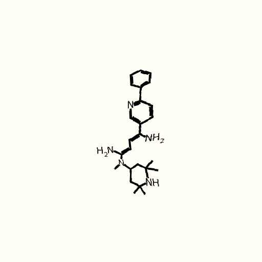 CN(/C(N)=C/C=C(\N)c1ccc(-c2ccccc2)nc1)C1CC(C)(C)NC(C)(C)C1